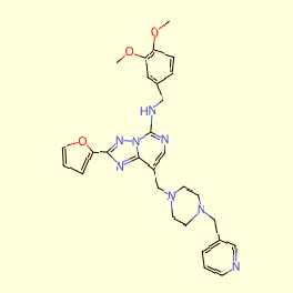 COc1ccc(CNc2ncc(CN3CCN(Cc4cccnc4)CC3)c3nc(-c4ccco4)nn23)cc1OC